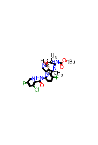 CC(C)(C)OC(=O)NC1=N[C@](C)(c2nc(NC(=O)c3ncc(F)cc3Cl)ccc2F)[C@H]2CCN=[S@@]2(=O)C1(C)C